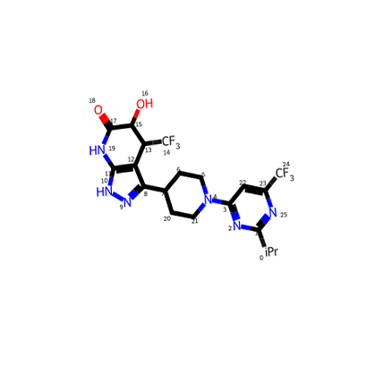 CC(C)c1nc(N2CCC(c3n[nH]c4c3C(C(F)(F)F)C(O)C(=O)N4)CC2)cc(C(F)(F)F)n1